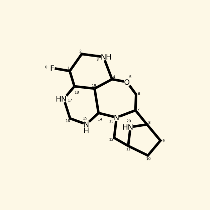 FC1CNC2OCC3C4CCC(CN3C3NCNC1C23)N4